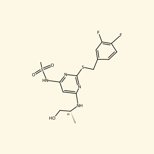 C[C@H](CO)Nc1cc(NS(C)(=O)=O)nc(SCc2ccc(F)c(F)c2)n1